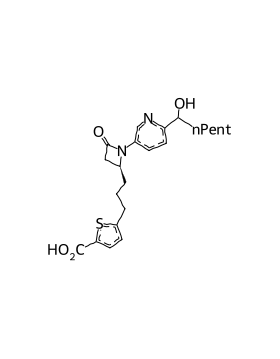 CCCCCC(O)c1ccc(N2C(=O)C[C@@H]2CCCc2ccc(C(=O)O)s2)cn1